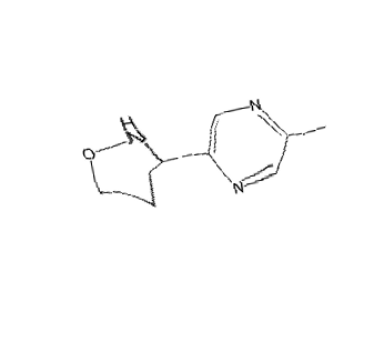 Cc1cnc(C2CCON2)cn1